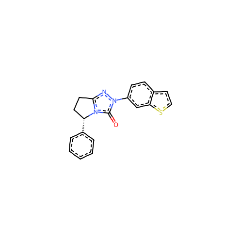 O=c1n(-c2ccc3ccsc3c2)nc2n1[C@H](c1ccccc1)CC2